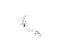 O=C1CCC(N2C(=O)c3ccc(N4CCN(CC5CCN(S(=O)(=O)Nc6ccc(Cl)cc6C(=O)Nc6ccc(C(F)(F)F)cc6Cl)CC5)CC4)cc3C2=O)C(=O)N1